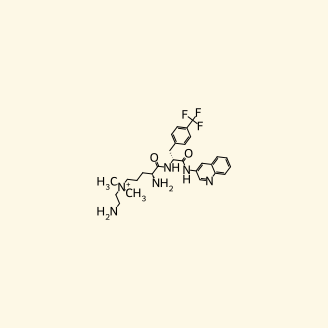 C[N+](C)(CCN)CCC[C@H](N)C(=O)N[C@H](Cc1ccc(C(F)(F)F)cc1)C(=O)Nc1cnc2ccccc2c1